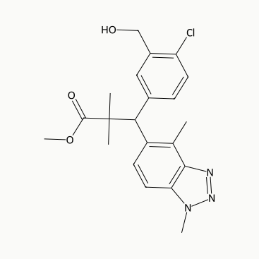 COC(=O)C(C)(C)C(c1ccc(Cl)c(CO)c1)c1ccc2c(nnn2C)c1C